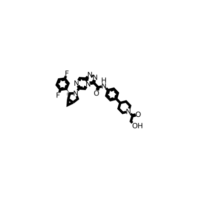 O=C(Nc1ccc(C2CCN(C(=O)CO)CC2)cc1)c1nnc2cnc(N3CC4CC4[C@@H]3c3cc(F)ccc3F)cn12